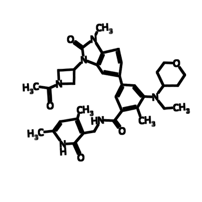 CCN(c1cc(-c2ccc3c(c2)n(C2CN(C(C)=O)C2)c(=O)n3C)cc(C(=O)NCc2c(C)cc(C)[nH]c2=O)c1C)C1CCOCC1